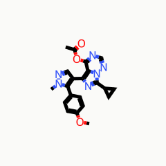 COc1ccc(-c2c(-c3nc(C4CC4)n4ncnc(OC(C)=O)c34)cnn2C)cc1